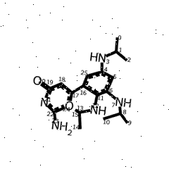 CC(C)Nc1cc(NC(C)C)c(NC(C)C)c(-c2cc(=O)nc(N)o2)c1